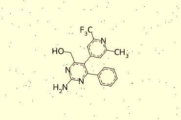 Cc1cc(-c2c(CO)nc(N)nc2-c2ccccc2)cc(C(F)(F)F)n1